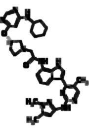 Cc1cnc(Nc2cc(C)n(C)n2)nc1-c1c[nH]c2c(NC(=O)CN3CC[C@H](Oc4cc(NC5CCCCC5)ncn4)C3)cccc12